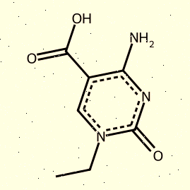 CCn1cc(C(=O)O)c(N)nc1=O